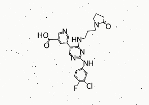 O=C(O)c1cncc(-c2cnc(Nc3ccc(F)c(Cl)c3)nc2NCCCN2CCCC2=O)c1